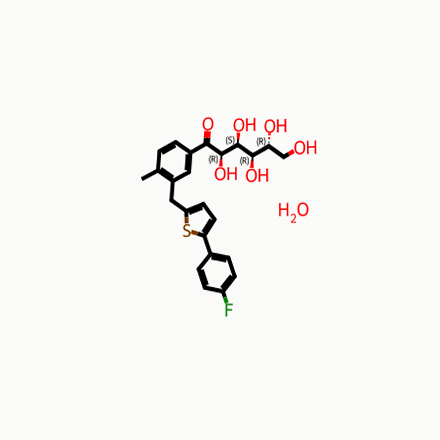 Cc1ccc(C(=O)[C@H](O)[C@@H](O)[C@H](O)[C@H](O)CO)cc1Cc1ccc(-c2ccc(F)cc2)s1.O